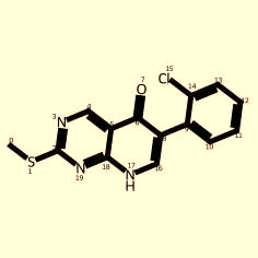 CSc1ncc2c(=O)c(-c3ccccc3Cl)c[nH]c2n1